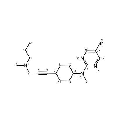 CCCN(C)CC#CC1CCC(N(C)c2ncc(Br)cn2)CC1